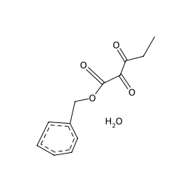 CCC(=O)C(=O)C(=O)OCc1ccccc1.O